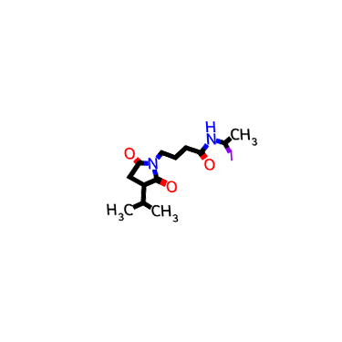 CC(I)NC(=O)CCCN1C(=O)CC(C(C)C)C1=O